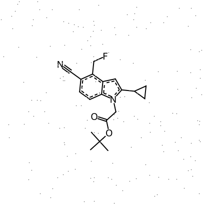 CC(C)(C)OC(=O)Cn1c(C2CC2)cc2c(CF)c(C#N)ccc21